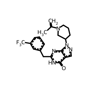 C=C(C)N1CCCC(n2ncc3c(=O)[nH]c(Cc4cccc(C(F)(F)F)c4)nc32)C1